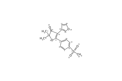 CC1(C)OC(c2ccc(S(C)(=O)=O)cc2)=C(c2ccoc2)C1=O